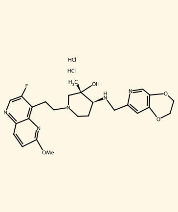 COc1ccc2ncc(F)c(CCN3CC[C@H](NCc4cc5c(cn4)OCCO5)[C@@](C)(O)C3)c2n1.Cl.Cl